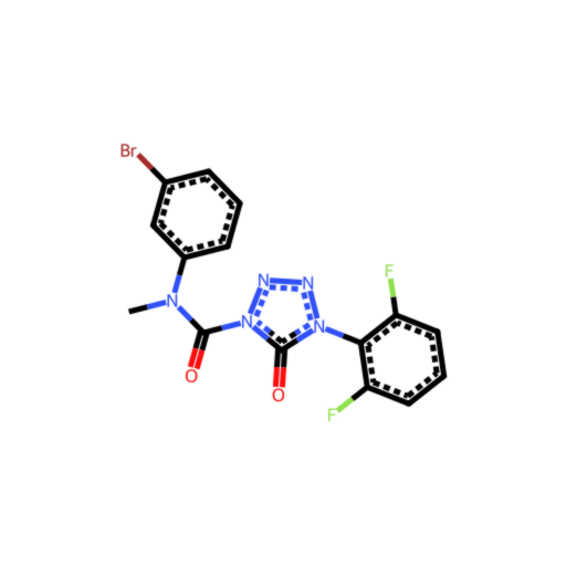 CN(C(=O)n1nnn(-c2c(F)cccc2F)c1=O)c1cccc(Br)c1